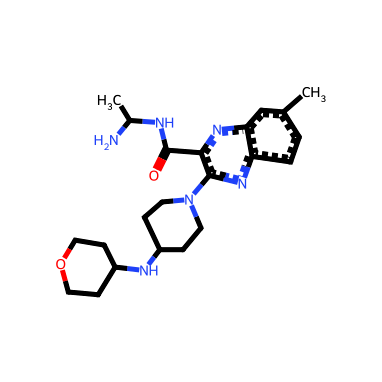 Cc1ccc2nc(N3CCC(NC4CCOCC4)CC3)c(C(=O)NC(C)N)nc2c1